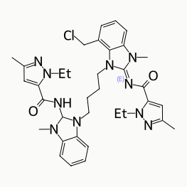 CCn1nc(C)cc1C(=O)/N=c1\n(C)c2cccc(CCl)c2n1CCCCN1c2ccccc2N(C)C1NC(=O)c1cc(C)nn1CC